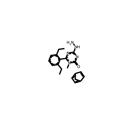 C1=CC2=CC=C1C2.CCc1cccc(CC)c1-c1nc(NN)nc(=O)n1C